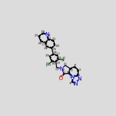 O=C1c2c(ccc3nncn23)CN1Cc1c(F)cc(-c2ccc3ncccc3c2)cc1F